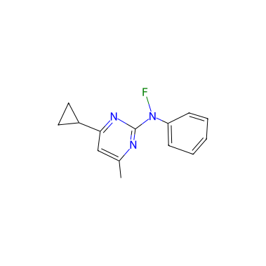 Cc1cc(C2CC2)nc(N(F)c2ccccc2)n1